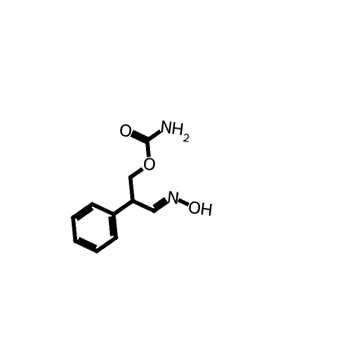 NC(=O)OCC(C=NO)c1ccccc1